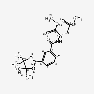 COC(=O)C[C@H](NC(=O)c1cccc(B2OC(C)(C)C(C)(C)O2)c1)C(=O)OC